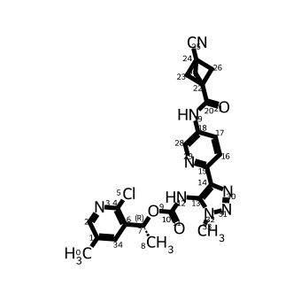 Cc1cnc(Cl)c([C@@H](C)OC(=O)Nc2c(-c3ccc(NC(=O)C45CC(C#N)(C4)C5)cn3)nnn2C)c1